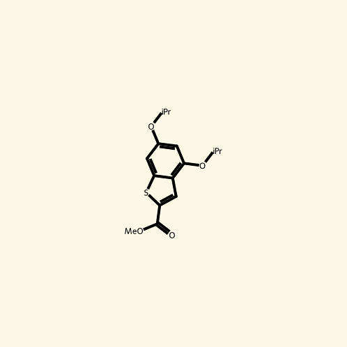 COC(=O)c1cc2c(OC(C)C)cc(OC(C)C)cc2s1